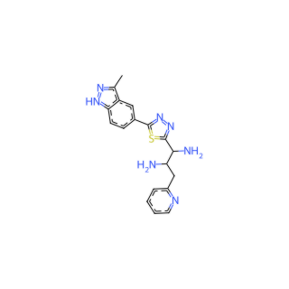 Cc1n[nH]c2ccc(-c3nnc(C(N)C(N)Cc4ccccn4)s3)cc12